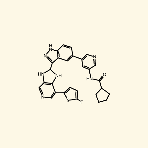 O=C(Nc1cncc(-c2ccc3[nH]nc(C4Nc5cncc(-c6ccc(F)s6)c5N4)c3c2)c1)C1CCCC1